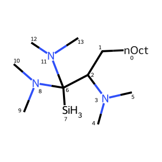 CCCCCCCCCC(N(C)C)C([SiH3])(N(C)C)N(C)C